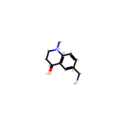 CN1CCC(=O)c2cc(CI)ccc21